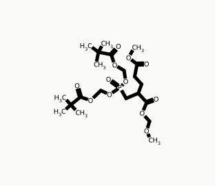 COCOC(=O)C(CCC(=O)OC)CP(=O)(OCOC(=O)C(C)(C)C)OCOC(=O)C(C)(C)C